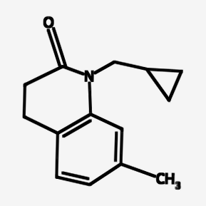 Cc1ccc2c(c1)N(CC1CC1)C(=O)CC2